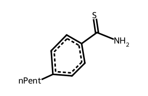 CCCCCc1ccc(C(N)=S)cc1